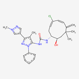 C=C1/C=C\C(Cl)=C/C[C@@H](NC(=O)Nc2c(C)c(-c3cnn(C)c3)nn2-c2ccccc2)[C@H](O)CC1(C)C